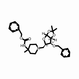 CC1(NC(=O)OCc2ccccc2)CCN(C[C@H]2O[C@@H]3OC(C)(C)O[C@@H]3[C@H]2OCc2ccccc2)CC1